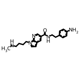 CNCCCCn1ccc2cc(C(=O)NCCc3ccc(N)cc3)cnc21